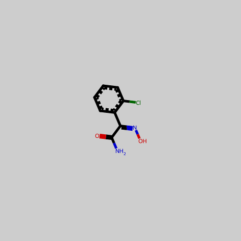 NC(=O)C(=NO)c1ccccc1Cl